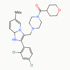 CNC1=CN2C(CN3CCN(C(=O)C4CCOCC4)CC3)=C(c3ccc(Cl)cc3Cl)NC2C=C1